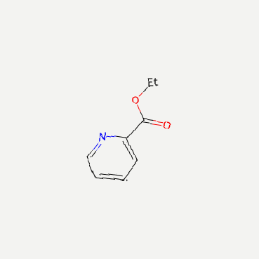 CCOC(=O)c1c[c]ccn1